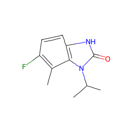 Cc1c(F)ccc2[nH]c(=O)n(C(C)C)c12